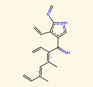 C=C/C(C)=C/C(C)=C(\C=C)C(=N)c1c[nH]c(N=C)c1C=C